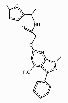 Cc1ccc(C(C)NC(=O)COc2cc(C(F)(F)F)c3c(-c4ccccc4)nn(C)c3n2)o1